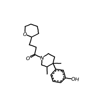 CC1CN(C(=O)CCC2CCCCO2)CCC1(C)c1cccc(O)c1